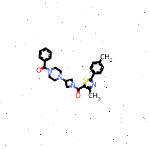 Cc1ccc(-c2nc(C)c(C(=O)N3CC(N4CCN(C(=O)c5ccccc5)CC4)C3)s2)cc1